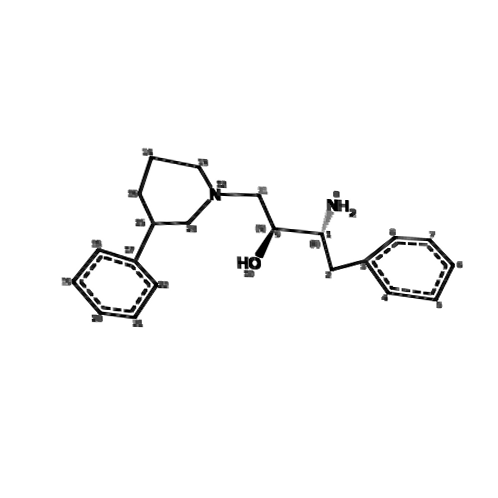 N[C@H](Cc1ccccc1)[C@@H](O)CN1CCCC(c2ccccc2)C1